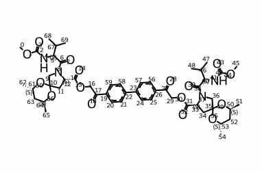 COC(=O)N[C@H](C(=O)N1CC2(C[C@H]1C(=O)OCC(=O)c1ccc(-c3ccc(C(=O)COC(=O)[C@@H]4CC5(CN4C(=O)[C@@H](NC(=O)OC)C(C)C)O[C@@H](C)C[C@H](C)O5)cc3)cc1)O[C@@H](C)C[C@H](C)O2)C(C)C